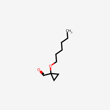 CCCCCCOC1([C]=O)CC1